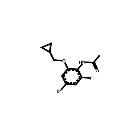 CC(=O)Nc1c(F)cc(Br)cc1OCC1CC1